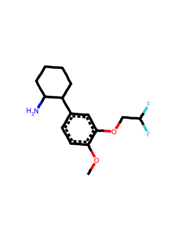 COc1ccc(C2CCCCC2N)cc1OCC(F)F